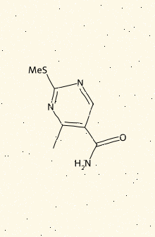 CSc1ncc(C(N)=O)c(C)n1